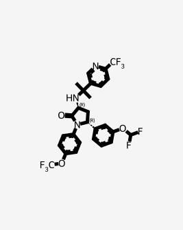 CC(C)(N[C@@H]1C[C@H](c2cccc(OC(F)F)c2)N(c2ccc(OC(F)(F)F)cc2)C1=O)c1ccc(C(F)(F)F)nc1